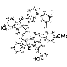 CC1=Cc2c(-c3cc(C)cc(C)c3)cccc2[CH]1[Zr][CH]1c2ccccc2-c2ccccc21.COc1ccc(C2=CC=CC3=[C]([Zr][CH]4C(C)=Cc5ccccc54)C(CC(C)C)=CC23)cc1.Cl.Cl